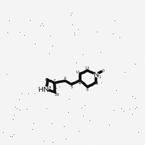 CN1CCC(CCC2CNC2)CC1